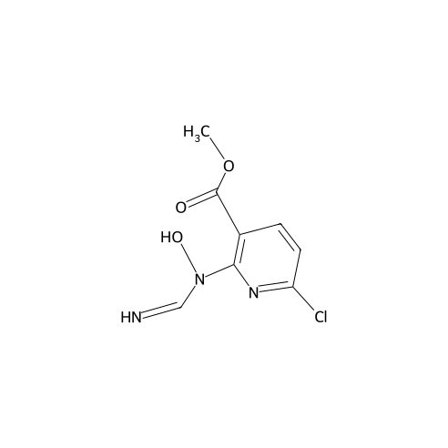 COC(=O)c1ccc(Cl)nc1N(O)C=N